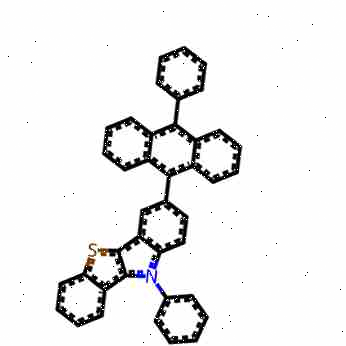 c1ccc(-c2c3ccccc3c(-c3ccc4c(c3)c3sc5ccccc5c3n4-c3ccccc3)c3ccccc23)cc1